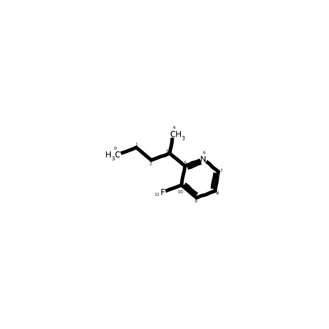 CCCC(C)c1ncccc1F